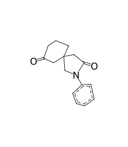 O=C1CCCC2(C1)CC(=O)N(c1ccccc1)C2